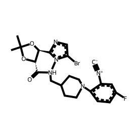 [C-]#[N+]c1cc(F)ccc1N1CCC(CNC(=O)[C@@H]2OC(C)(C)O[C@H]2c2ncc(Br)n2C)CC1